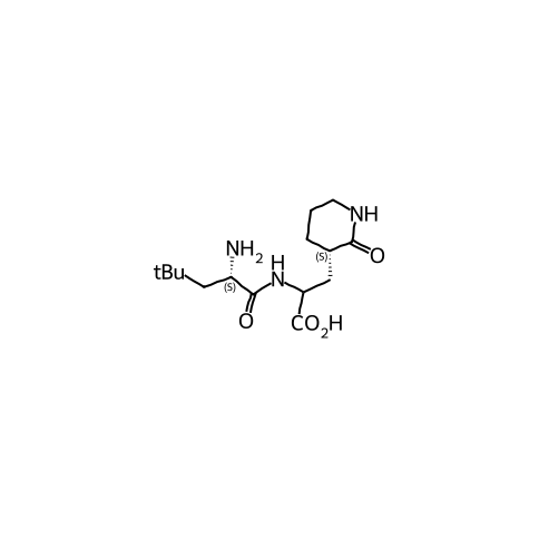 CC(C)(C)C[C@H](N)C(=O)NC(C[C@@H]1CCCNC1=O)C(=O)O